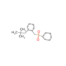 CC(C)(C)Cc1ccccc1CS(=O)(=O)c1ccccc1